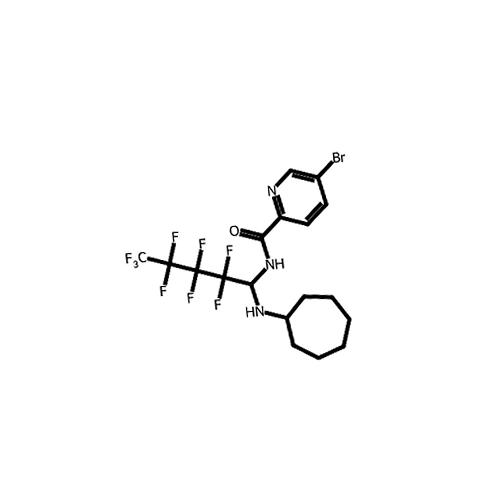 O=C(NC(NC1CCCCCC1)C(F)(F)C(F)(F)C(F)(F)C(F)(F)F)c1ccc(Br)cn1